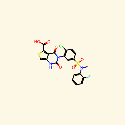 CN(c1ccccc1F)S(=O)(=O)c1ccc(Cl)c(-n2c(=O)[nH]c3csc(C(=O)O)c3c2=O)c1